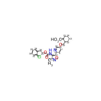 Cc1noc(-c2ccc(OC[C@@H]3CCCC[C@H]3C(=O)O)cn2)c1NC(=O)OCCc1ccccc1Cl